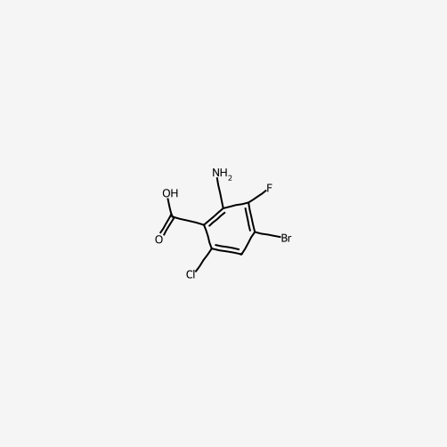 Nc1c(F)c(Br)cc(Cl)c1C(=O)O